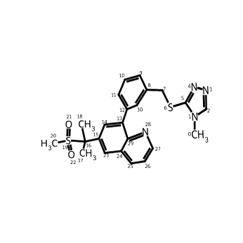 Cn1cnnc1SCc1cccc(-c2cc(C(C)(C)S(C)(=O)=O)cc3cccnc23)c1